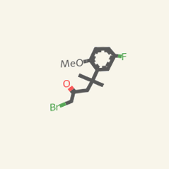 COc1ccc(F)cc1C(C)(C)CC(=O)CBr